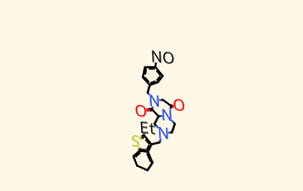 CCc1sc2c(c1CN1CCN3C(=O)CN(Cc4ccc(N=O)cc4)C(=O)C3C1)=CCCC=2